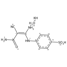 N#CC(C(N)=O)=C(N)Nc1ccc(S(=O)(=O)O)cc1.O.[KH]